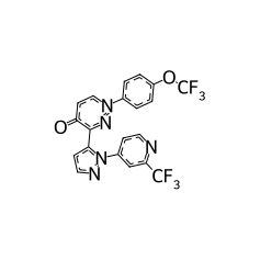 O=c1ccn(-c2ccc(OC(F)(F)F)cc2)nc1-c1ccnn1-c1ccnc(C(F)(F)F)c1